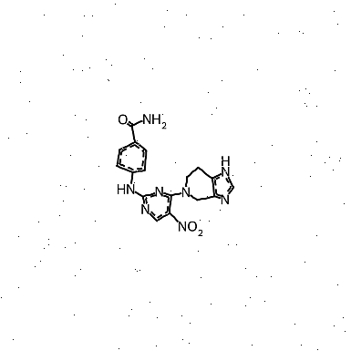 NC(=O)c1ccc(Nc2ncc([N+](=O)[O-])c(N3CCc4[nH]cnc4C3)n2)cc1